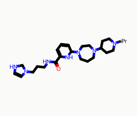 CC(C)N1CCC(N2CCCN(C3C=CC=C(C(=O)NCCCN4C=CNC4)N3)CC2)CC1